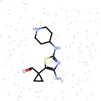 Nc1nc(NC2CCNCC2)sc1C1(C=O)CC1